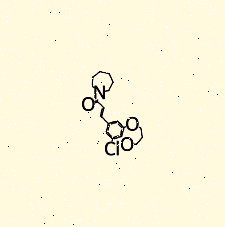 O=C(C=Cc1cc(Cl)c2c(c1)OCCCO2)N1CCCCCC1